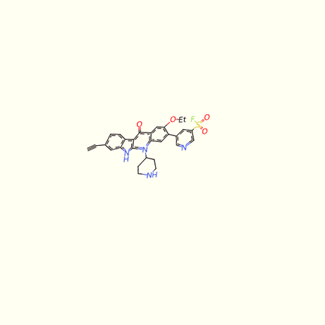 C#Cc1ccc2c(c1)[nH]c1c2c(=O)c2cc(OCC)c(-c3cncc(S(=O)(=O)F)c3)cc2n1C1CCNCC1